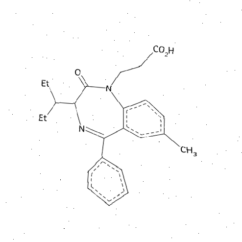 CCC(CC)C1N=C(c2ccccc2)c2cc(C)ccc2N(CCC(=O)O)C1=O